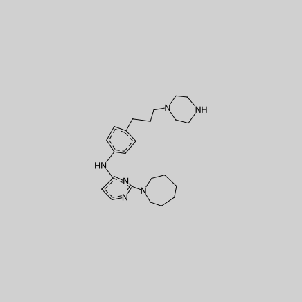 c1cc(Nc2ccc(CCCN3CCNCC3)cc2)nc(N2CCCCCC2)n1